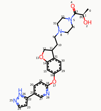 C[C@@H](O)C(=O)N1CCN(CCC2COc3cc(Oc4ccc(-c5ccn[nH]5)cn4)ccc32)CC1